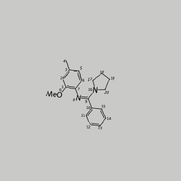 COc1cc(C)ccc1N=C(c1ccccc1)N1CCCC1